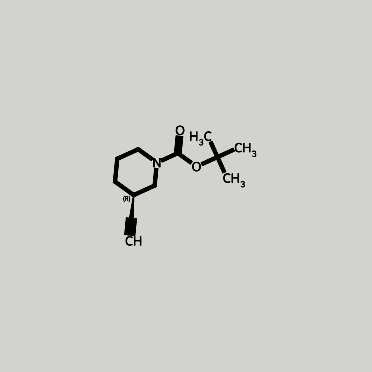 C#C[C@H]1CCCN(C(=O)OC(C)(C)C)C1